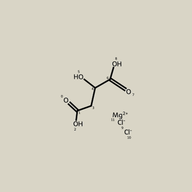 O=C(O)CC(O)C(=O)O.[Cl-].[Cl-].[Mg+2]